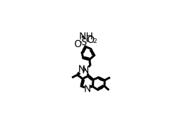 Cc1cc2ncc3c(C)nn(Cc4ccc(S(N)(=O)=O)cc4)c3c2cc1C